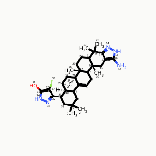 CC1(C)CC2C3=CCC4[C@@]5(C)Cc6c(n[nH]c6N)C(C)(C)C5CC[C@@]4(C)[C@]3(C)CC[C@@H]2[C@H](c2n[nH]c(O)c2F)C1